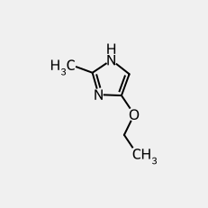 CCOc1c[nH]c(C)n1